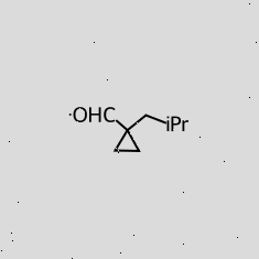 CC(C)CC1([C]=O)CC1